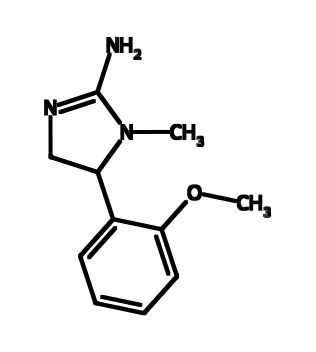 COc1ccccc1C1CN=C(N)N1C